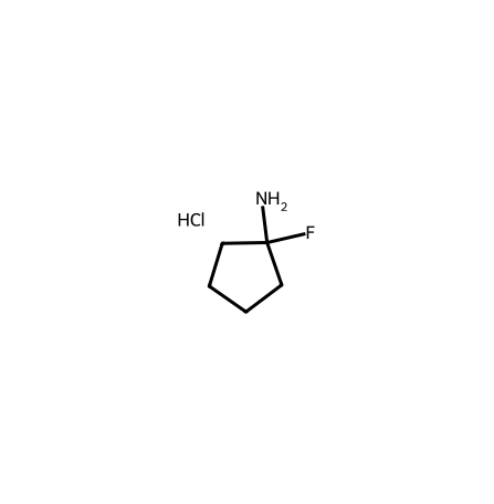 Cl.NC1(F)CCCC1